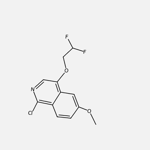 COc1ccc2c(Cl)ncc(OCC(F)F)c2c1